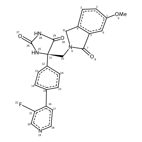 COc1ccc2c(c1)C(=O)N(C[C@@]1(c3ccc(-c4ccncc4F)cc3)NC(=O)NC1=O)C2